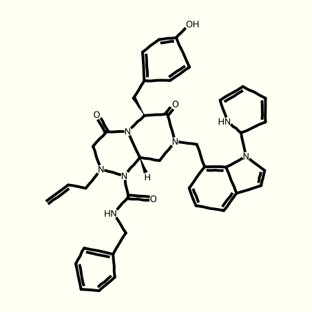 C=CCN1CC(=O)N2[C@@H](Cc3ccc(O)cc3)C(=O)N(Cc3cccc4ccn(C5C=CC=CN5)c34)C[C@@H]2N1C(=O)NCc1ccccc1